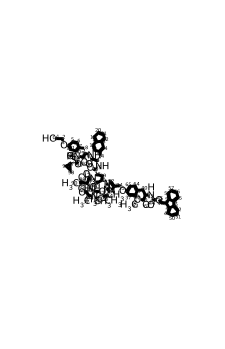 C#CCOc1ccc(C[C@H](NC(=O)[C@H](Cc2ccc3ccccc3c2)NC(=O)[C@@H]2C[C@H](n3cc(COc4ccc(CC(NC(=O)OCC5c6ccccc6-c6ccccc65)C(=O)OC)cc4)nn3)CN2C(=O)[C@@H](NC(=O)[C@H](C)N(C)C(=O)OC(C)(C)C)C(C)(C)C)C(=O)NS(=O)(=O)C2CC2)cc1